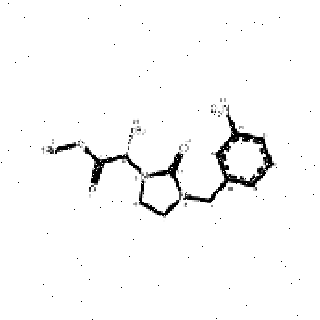 CC(C)(C)OC(=O)[C@@H](N1CCN(Cc2cccc([N+](=O)[O-])c2)C1=O)C(C)(C)C